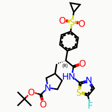 CC(C)(C)OC(=O)N1CCC(C[C@@H](C(=O)Nc2ncc(F)s2)c2ccc(S(=O)(=O)C3CC3)cc2)C1